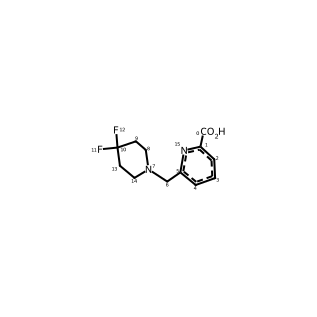 O=C(O)c1cccc(CN2CCC(F)(F)CC2)n1